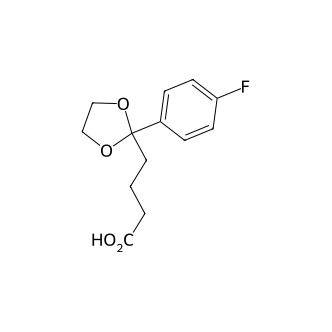 O=C(O)CCCC1(c2ccc(F)cc2)OCCO1